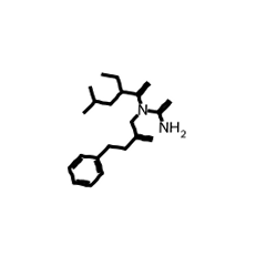 C=C(CCc1ccccc1)CN(C(=C)N)C(=C)C(CC)CC(C)C